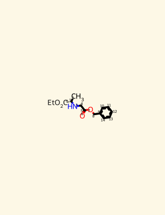 CCOC(=O)[C@H](C)NCC(=O)OCc1ccccc1